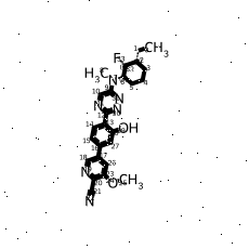 CC[C@@H]1CCC[C@H](N(C)c2cnc(-c3ccc(-c4cnc(C#N)c(OC)c4)cc3O)nn2)[C@@H]1F